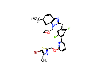 Cc1nc(COc2cccc(-c3cc(F)c(Cc4nc5ccc(C(=O)O)cc5n4CC4CCO4)cc3F)n2)sc1Br